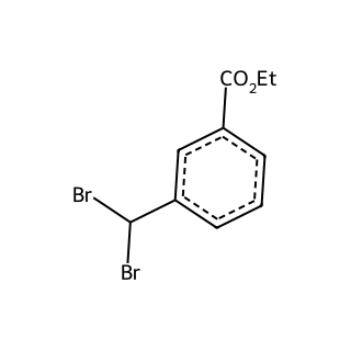 CCOC(=O)c1cccc(C(Br)Br)c1